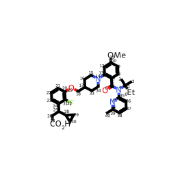 CCC(C)(C)N(C(=O)c1ccc(OC)cc1N1CCC(COc2cccc(C(CC(=O)O)C3CC3)c2F)CC1)c1cccc(C)n1